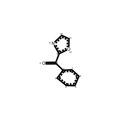 O=C(c1c[c]ccc1)c1ncco1